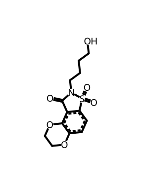 O=C1c2c(ccc3c2OCCO3)S(=O)(=O)N1CCCCO